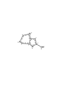 On1cc2ncncc2n1